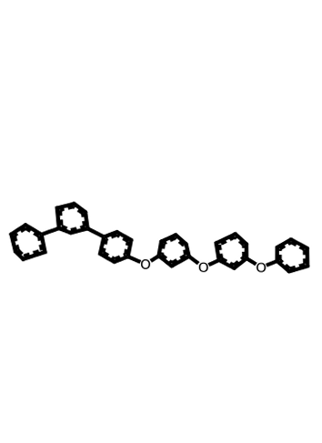 c1ccc(Oc2cccc(Oc3cccc(Oc4ccc(-c5cccc(-c6ccccc6)c5)cc4)c3)c2)cc1